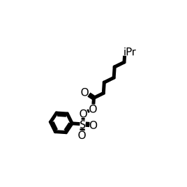 CC(C)CCCCCC(=O)OOS(=O)(=O)c1ccccc1